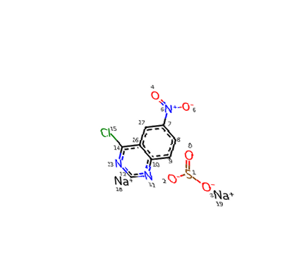 O=S([O-])[O-].O=[N+]([O-])c1ccc2ncnc(Cl)c2c1.[Na+].[Na+]